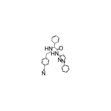 N#Cc1ccc(CCNC(C(=O)Nc2ccn(-c3ccccc3)n2)C2C=CC=CC2)cc1